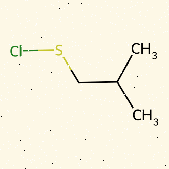 CC(C)CSCl